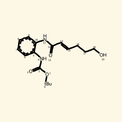 CC(C)(C)OC(=O)Nc1ccccc1NC(=O)/C=C/CCCO